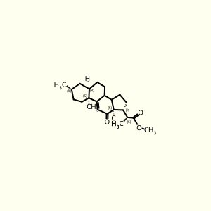 COC(=O)[C@@H](C)[C@H]1CCC2C3CC[C@@H]4C[C@H](C)CC[C@]4(C)C3=CC(=O)[C@@]21C